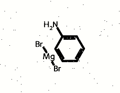 Nc1cc[c]cc1.[Br][Mg][Br]